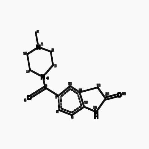 CN1CCN(C(=O)c2ccc3c(c2)CC(=O)N3)CC1